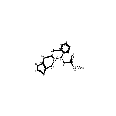 COC(=O)C[C@H](c1ccccc1Cl)N1CCC2=C(C=CC2)C1